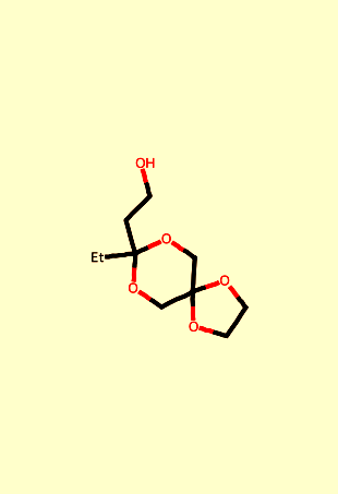 CCC1(CCO)OCC2(CO1)OCCO2